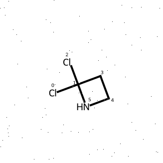 ClC1(Cl)CCN1